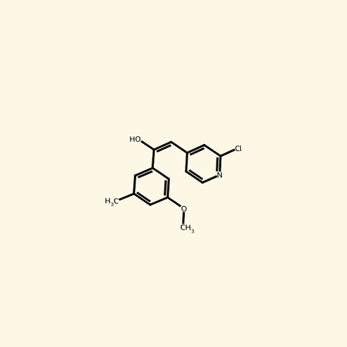 COc1cc(C)cc(/C(O)=C\c2ccnc(Cl)c2)c1